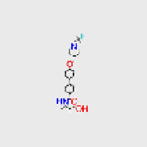 CC(CO)C(C)NC(=O)c1ccc(-c2ccc(OCC3CCN(CC(C)(C)F)CC3)cc2)cc1